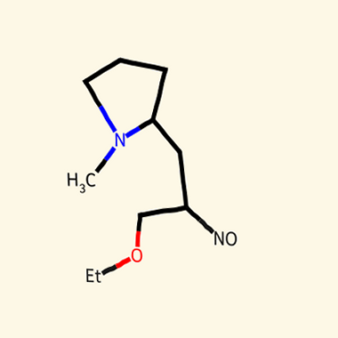 CCOCC(CC1CCCN1C)N=O